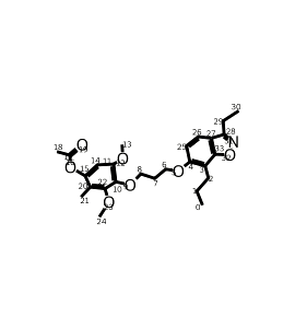 CCCc1c(OCCCOc2c(OC)cc(OC(C)=O)c(C)c2OC)ccc2c(CC)noc12